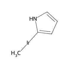 [CH3][Ir][c]1ccc[nH]1